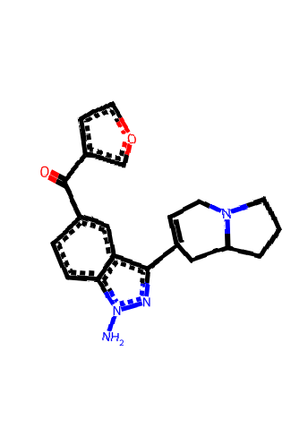 Nn1nc(C2=CCN3CCCC3C2)c2cc(C(=O)c3ccoc3)ccc21